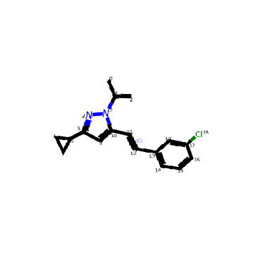 CC(C)n1nc(C2CC2)cc1/C=C/c1cccc(Cl)c1